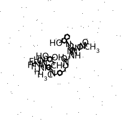 CCc1cc(C(=N)N(C(=N)C(=O)NCC(F)(F)F)c2ccc(CN(C)Cc3ccc(CC4CCN(C(=O)CCNc5nc6c(c(N7CCN(C(C)=O)CC7)n5)CCN(c5cc(O)cc7ccccc57)C6)CC4)cc3)cc2)c(O)cc1O